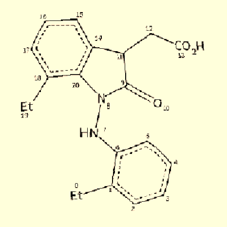 CCc1ccccc1NN1C(=O)C(CC(=O)O)c2cccc(CC)c21